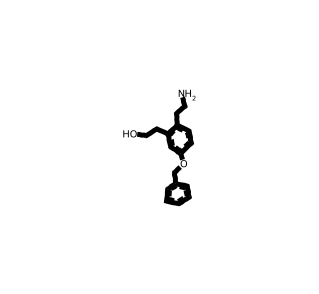 NCCc1ccc(OCc2ccccc2)cc1CCO